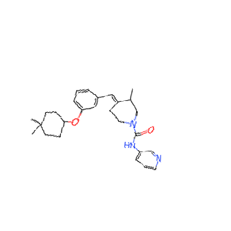 CC1CN(C(=O)Nc2cccnc2)CCC1=Cc1cccc(OC2CCC(C)(C)CC2)c1